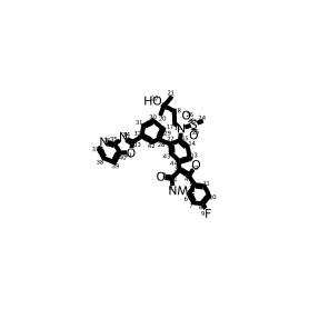 CNC(=O)c1c(-c2ccc(F)cc2)oc2cc(N(CCC(C)(C)O)S(C)(=O)=O)c(-c3cccc(-c4nc5ncccc5o4)c3)cc12